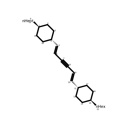 CCCCCCC[C@H]1CC[C@H](/C=C/C#C/C=C/[C@H]2CC[C@H](CCCCCC)CC2)CC1